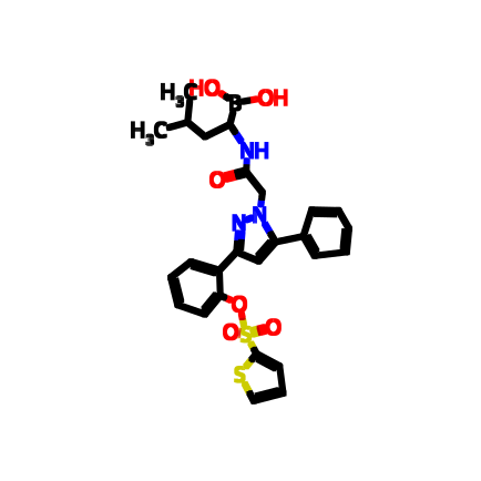 CC(C)CC(NC(=O)Cn1nc(-c2ccccc2OS(=O)(=O)c2cccs2)cc1-c1ccccc1)B(O)O